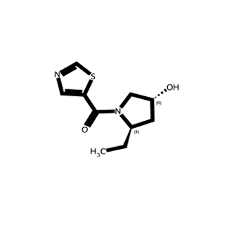 CC[C@@H]1C[C@@H](O)CN1C(=O)c1cncs1